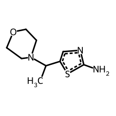 CC(c1cnc(N)s1)N1CCOCC1